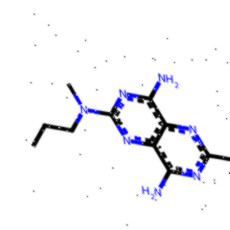 CCCN(C)c1nc(N)c2nc(C)nc(N)c2n1